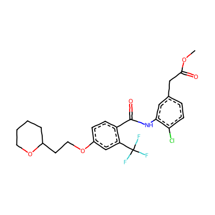 COC(=O)Cc1ccc(Cl)c(NC(=O)c2ccc(OCCC3CCCCO3)cc2C(F)(F)F)c1